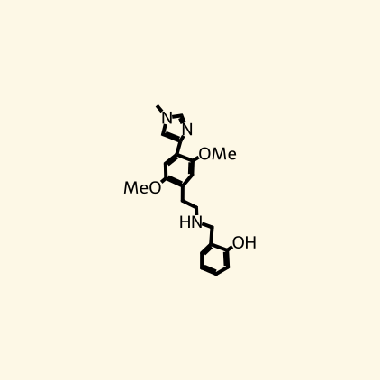 COc1cc(-c2cn(C)cn2)c(OC)cc1CCNCc1ccccc1O